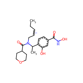 CC/C=C\CN(C(=O)C1CCOCC1)C(C)c1ccc(C(=O)NO)cc1O